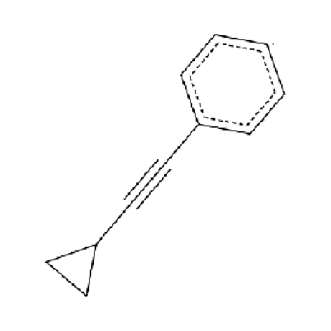 C(#CC1CC1)c1cc[c]cc1